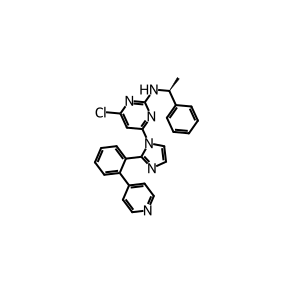 C[C@H](Nc1nc(Cl)cc(-n2ccnc2-c2ccccc2-c2ccncc2)n1)c1ccccc1